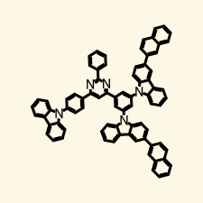 c1ccc(-c2nc(-c3ccc(-n4c5ccccc5c5ccccc54)cc3)cc(-c3cc(-n4c5ccccc5c5cc(-c6ccc7ccccc7c6)ccc54)cc(-n4c5ccccc5c5cc(-c6ccc7ccccc7c6)ccc54)c3)n2)cc1